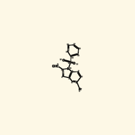 O=Cc1cc2cc(Br)ccc2n1S(=O)(=O)c1ccccc1